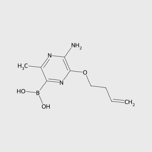 C=CCCOc1nc(B(O)O)c(C)nc1N